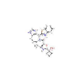 O=C(c1oc(C2(O)CCC2)nc1C(F)(F)F)N1CCCc2[nH]cnc2[C@H]1c1nc2ccccc2s1